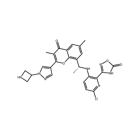 Cc1cc([C@@H](C)Nc2ccc(Cl)nc2-c2noc(=O)[nH]2)c2oc(-c3cnn(C4CNC4)c3)c(C)c(=O)c2c1